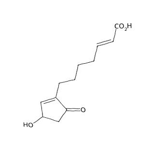 O=C(O)C=CCCCCC1=CC(O)CC1=O